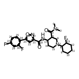 CN(C)C(=O)C1CN(C2CCCCC2F)CCC1NC(=O)c1cc(-c2ccc(F)cc2F)on1